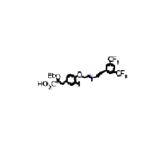 CCO[C@@H](Cc1ccc(OC/C=C(\C)C#Cc2cc(C(F)(F)F)cc(C(F)(F)F)c2)c(I)c1)C(=O)O